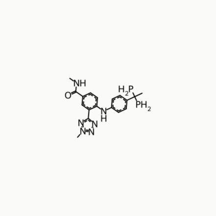 CNC(=O)c1ccc(Nc2ccc(C(C)(P)P)cc2)c(-c2nnn(C)n2)c1